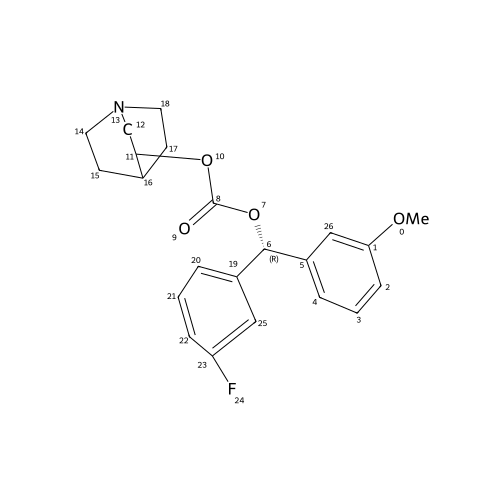 COc1cccc([C@@H](OC(=O)OC2CN3CCC2CC3)c2cccc(F)c2)c1